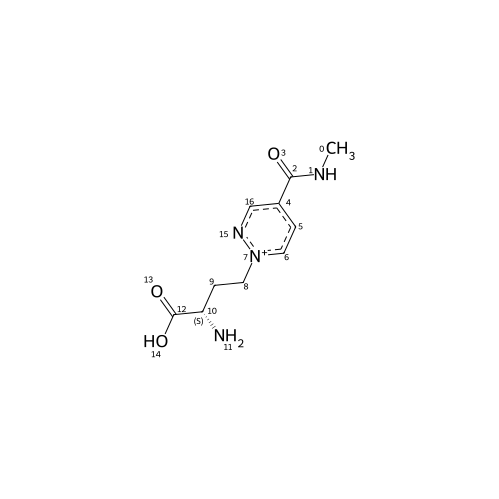 CNC(=O)c1cc[n+](CC[C@H](N)C(=O)O)nc1